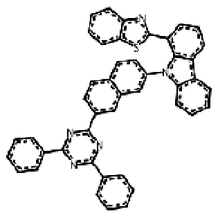 c1ccc(-c2nc(-c3ccccc3)nc(-c3ccc4ccc(-n5c6ccccc6c6cccc(-c7nc8ccccc8s7)c65)cc4c3)n2)cc1